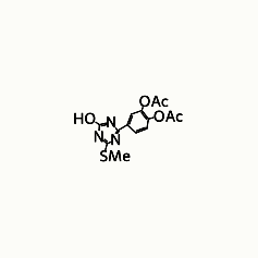 CSc1nc(O)nc(-c2ccc(OC(C)=O)c(OC(C)=O)c2)n1